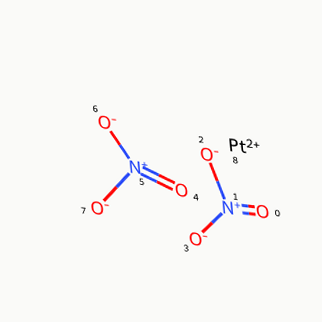 O=[N+]([O-])[O-].O=[N+]([O-])[O-].[Pt+2]